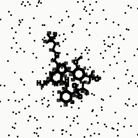 COc1cc(P(C)(C)=O)ccc1-c1cn(COCC[Si](C)(C)C)c2nc(N)nc(Nc3ccccc3S(=O)(=O)C(C)C)c12